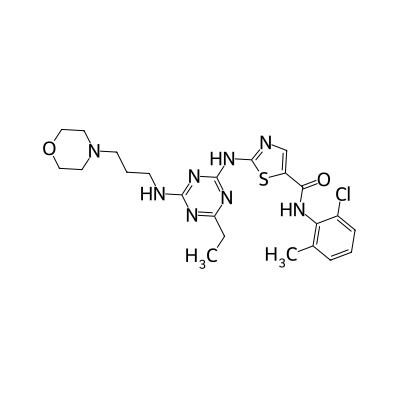 CCc1nc(NCCCN2CCOCC2)nc(Nc2ncc(C(=O)Nc3c(C)cccc3Cl)s2)n1